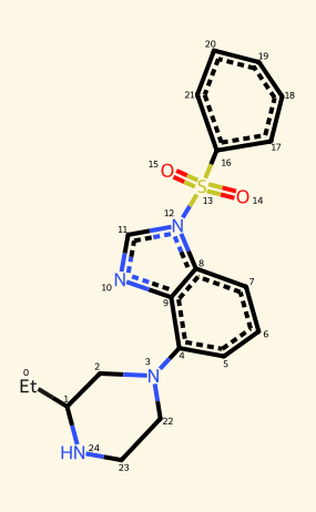 CCC1CN(c2cccc3c2ncn3S(=O)(=O)c2ccccc2)CCN1